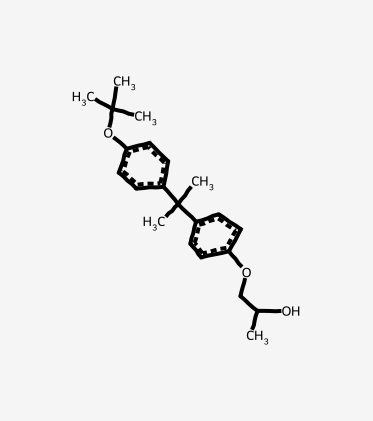 CC(O)COc1ccc(C(C)(C)c2ccc(OC(C)(C)C)cc2)cc1